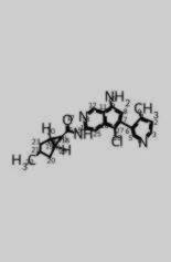 Cc1ccncc1-c1cc(N)c2cnc(NC(=O)[C@H]3[C@@H]4CC(C)C[C@@H]43)cc2c1Cl